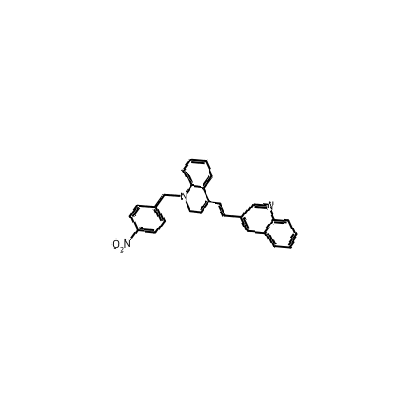 O=[N+]([O-])c1ccc(CN2CC=C(C=Cc3cnc4ccccc4c3)c3ccccc32)cc1